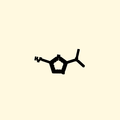 CN(C)c1nc(P)cs1